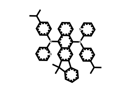 CC(C)c1ccc(N(c2ccccn2)c2c3ccccc3c(N(c3ccc(C(C)C)cc3)c3ccccn3)c3cc4c(cc23)-c2ccccc2C4(C)C)cc1